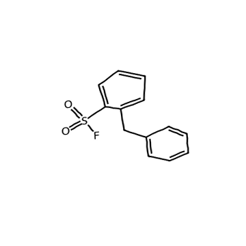 O=S(=O)(F)c1ccccc1Cc1ccccc1